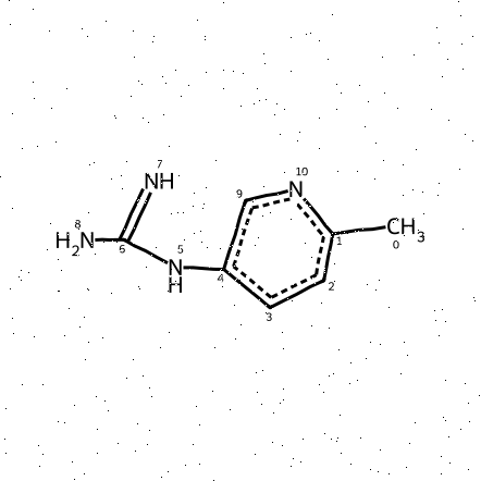 Cc1ccc(NC(=N)N)cn1